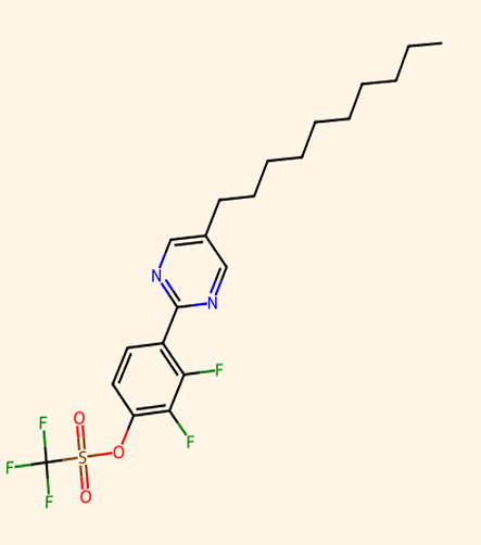 CCCCCCCCCCc1cnc(-c2ccc(OS(=O)(=O)C(F)(F)F)c(F)c2F)nc1